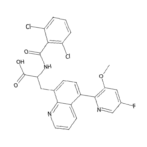 COc1cc(F)cnc1-c1ccc(CC(NC(=O)c2c(Cl)cccc2Cl)C(=O)O)c2ncccc12